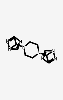 c1nc2nn1C2N1CCN(C2c3ncn2n3)CC1